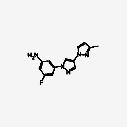 Cc1ccn(-c2cnn(-c3cc(N)cc(F)c3)c2)n1